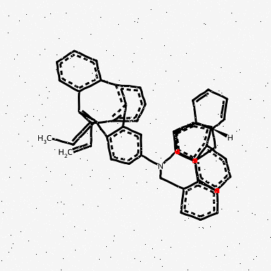 C=CC1=C2/C(=C\C)c3ccc(N(Cc4ccccc4C4CCC5C=CC=C[C@@H]5C4)c4cccc5ccccc45)cc3-c3c1cccc3-c1ccccc12